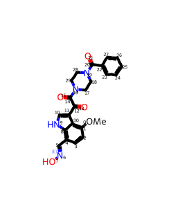 COc1ccc(/C=N/O)c2[nH]cc(C(=O)C(=O)N3CCN(C(=O)c4ccccc4)CC3)c12